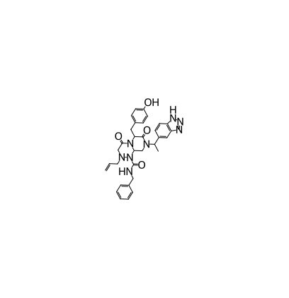 C=CCN1CC(=O)N2C(Cc3ccc(O)cc3)C(=O)N(C(C)c3ccc4[nH]nnc4c3)CC2N1C(=O)NCc1ccccc1